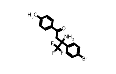 Cc1ccc(C(=O)CC(N)(c2ccc(Br)cc2)C(F)(F)F)cc1